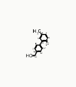 Cc1ccc(F)c(-c2ccc(CO)cc2)c1